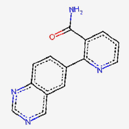 NC(=O)c1cccnc1-c1ccc2ncncc2c1